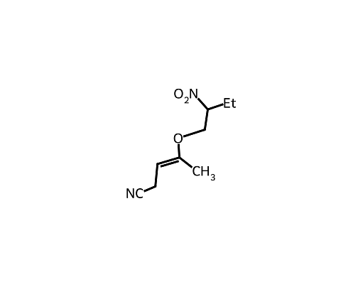 CCC(CO/C(C)=C/CC#N)[N+](=O)[O-]